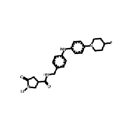 CCN1CC(C(=O)NCc2ccc(Nc3ccc(N4CCC(F)CC4)cc3)cc2)CC1=O